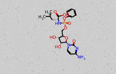 CC(C)C[C@@H](NP(=O)(OCC1O[C@@H](n2ccc(N)nc2=O)[C@H](O)[C@@H]1O)Oc1ccccc1)C(=O)O